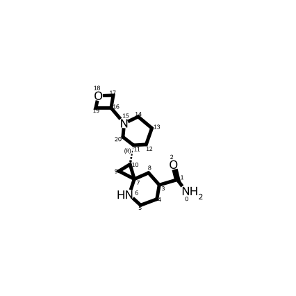 NC(=O)C1CCNC2(C1)CC2[C@H]1CCCN(C2COC2)C1